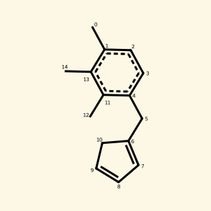 Cc1ccc(CC2=CC=CC2)c(C)c1C